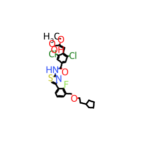 CO/C(=C/c1c(Cl)cc(C(=O)Nc2nc(-c3cccc(COCCC4CCCC4)c3F)cs2)cc1Cl)C(=O)O